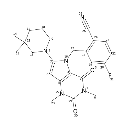 Cn1c(=O)c2c(cc(N3CCCC(C)(C)C3)n2Cc2cc(F)ccc2C#N)n(C)c1=O